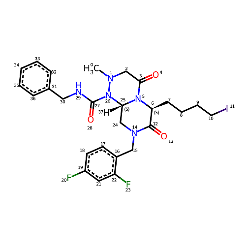 CN1CC(=O)N2[C@@H](CCCCI)C(=O)N(Cc3ccc(F)cc3F)C[C@@H]2N1C(=O)NCc1ccccc1